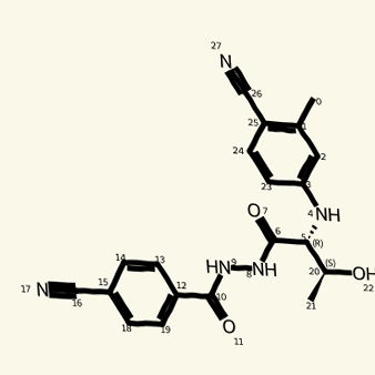 Cc1cc(N[C@@H](C(=O)NNC(=O)c2ccc(C#N)cc2)[C@H](C)O)ccc1C#N